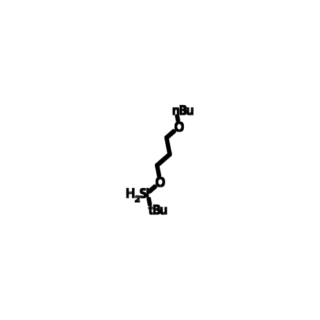 CCCCOCCCO[SiH2]C(C)(C)C